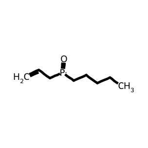 C=CC[P](=O)CCCCC